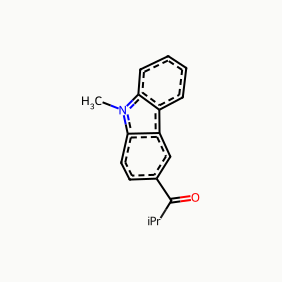 CC(C)C(=O)c1ccc2c(c1)c1ccccc1n2C